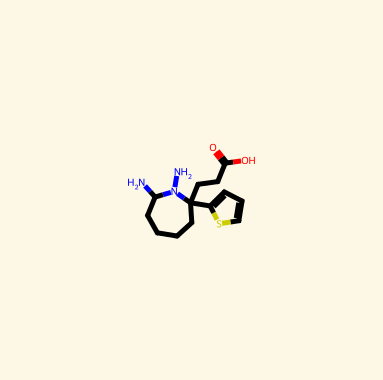 NC1CCCCC(CCC(=O)O)(c2cccs2)N1N